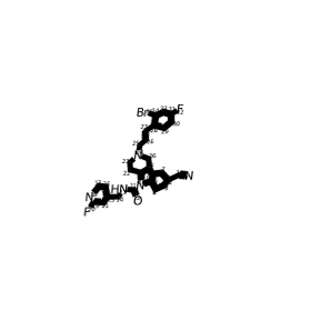 N#Cc1ccc2c(c1)c1c(n2C(=O)NCc2ccnc(F)c2)CCN(CC=Cc2ccc(F)cc2Br)C1